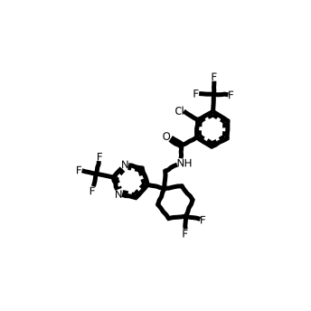 O=C(NCC1(c2cnc(C(F)(F)F)nc2)CCC(F)(F)CC1)c1cccc(C(F)(F)F)c1Cl